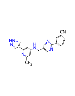 N#Cc1cccc(-c2ncc(CNc3cc(-c4cn[nH]c4)nc(C(F)(F)F)c3)cn2)c1